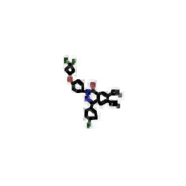 Cc1cc2c(-c3ccc(F)cc3)nn(-c3ccc(OC4CC(F)(F)C4)cc3)c(=O)c2cc1C